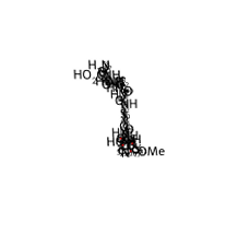 CC[C@]12C=CCN3CC[C@@]4(c5ccc(OC)cc5N(C)[C@H]4[C@@](O)(C(=O)NNC(=O)OCCSSCCNC(=O)CNC(=O)[C@H](CC(=O)O)NC(=O)CNC(=O)[C@H](CC(=O)O)NC(=O)CN)[C@@H]1O)C32